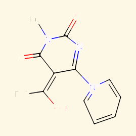 CCN1C(=O)N=C([n+]2ccccc2)/C(=C(\O)C(F)(F)F)C1=O